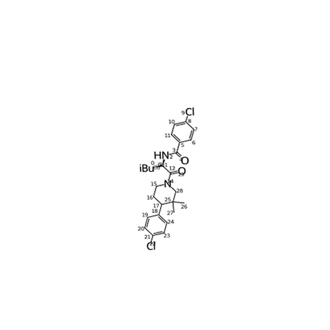 CC[C@H](C)[C@@H](NC(=O)c1ccc(Cl)cc1)C(=O)N1CCC(c2ccc(Cl)cc2)C(C)(C)C1